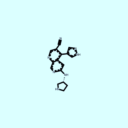 N#Cc1cnc2cnc(N[C@@H]3CCNC3)cc2c1-c1cn[nH]c1